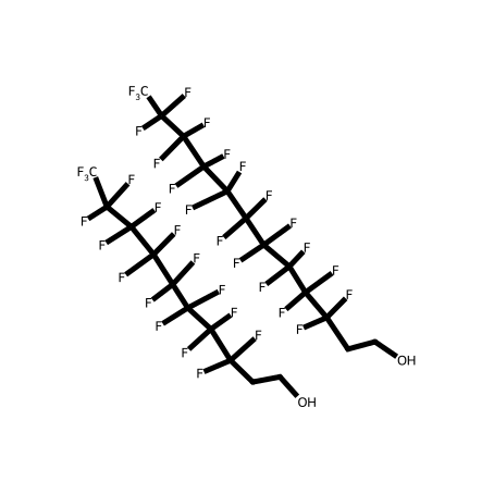 OCCC(F)(F)C(F)(F)C(F)(F)C(F)(F)C(F)(F)C(F)(F)C(F)(F)C(F)(F)C(F)(F)C(F)(F)F.OCCC(F)(F)C(F)(F)C(F)(F)C(F)(F)C(F)(F)C(F)(F)C(F)(F)C(F)(F)F